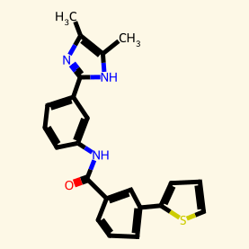 Cc1nc(-c2cccc(NC(=O)c3cccc(-c4cccs4)c3)c2)[nH]c1C